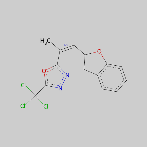 C/C(=C/C1Cc2ccccc2O1)c1nnc(C(Cl)(Cl)Cl)o1